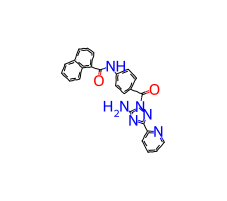 Nc1nc(-c2ccccn2)nn1C(=O)c1ccc(NC(=O)c2cccc3ccccc23)cc1